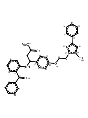 COC(=O)CC(Nc1ccccc1C(=O)c1ccccc1)c1ccc(OCCn2nc(-c3ccccc3)cc2C)cc1